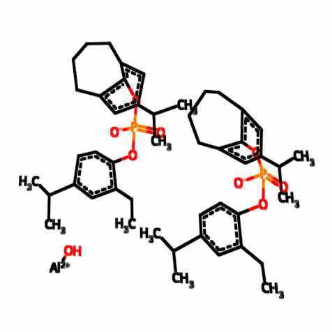 CCc1cc(C(C)C)ccc1OP(=O)([O-])Oc1c2cc(C(C)C)cc1CCCC2.CCc1cc(C(C)C)ccc1OP(=O)([O-])Oc1c2cc(C(C)C)cc1CCCC2.[OH][Al+2]